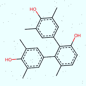 Cc1cc(-c2c(C)ccc(O)c2-c2cc(C)c(O)c(C)c2)cc(C)c1O